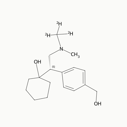 [2H]C([2H])([2H])N(C)C[C@H](c1ccc(CO)cc1)C1(O)CCCCC1